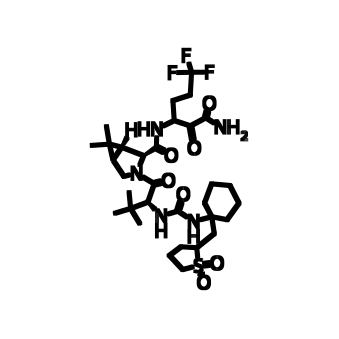 CC(C)(C)[C@H](NC(=O)NC1(CC2CCCS2(=O)=O)CCCCC1)C(=O)N1CC2[C@@H]([C@H]1C(=O)NC(CCC(F)(F)F)C(=O)C(N)=O)C2(C)C